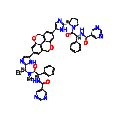 CC[C@@H](c1ncc(-c2cc3c4c(c2)OCc2cc(-c5cnc([C@@H]6CCCN6C(=O)[C@H](NC(=O)c6cncnc6)c6ccccc6)[nH]5)cc(c2-4)OC3)[nH]1)N(CC)C(=O)[C@H](NC(=O)c1cncnc1)c1ccccc1